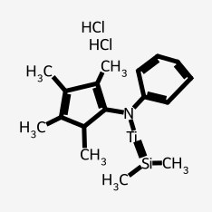 CC1=C(C)C(C)C([N]([Ti]=[Si](C)C)c2ccccc2)=C1C.Cl.Cl